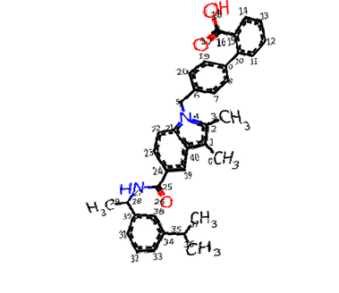 Cc1c(C)n(Cc2ccc(-c3ccccc3C(=O)O)cc2)c2ccc(C(=O)NC(C)c3cccc(C(C)C)c3)cc12